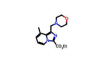 CCOC(=O)c1nc(CN2CCOCC2)c2c(C)cccn12